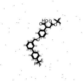 CC(C)(C)OC(=O)CC(C(=O)O)c1ccc(OCc2cccc(-c3ccc(C(F)(F)F)cc3)c2)cc1